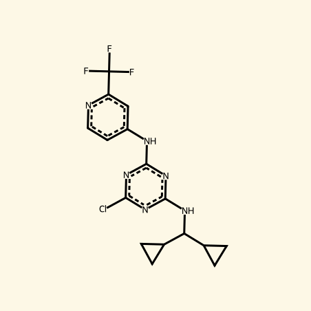 FC(F)(F)c1cc(Nc2nc(Cl)nc(NC(C3CC3)C3CC3)n2)ccn1